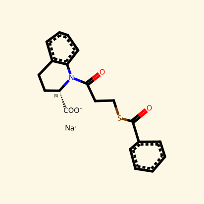 O=C(SCCC(=O)N1c2ccccc2CC[C@H]1C(=O)[O-])c1ccccc1.[Na+]